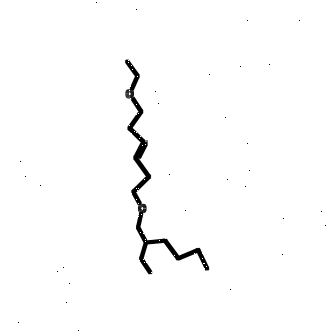 CCCCC(CC)COCC/C=[C]/CCOCC